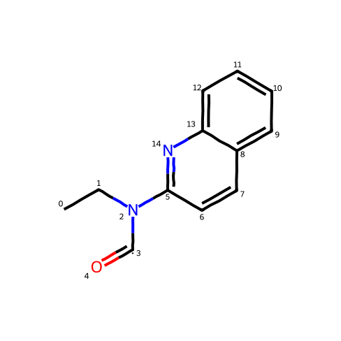 CCN([C]=O)c1ccc2ccccc2n1